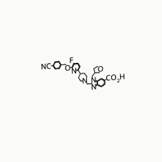 N#Cc1ccc(COc2nc(C3CCN(Cc4nc5ccc(C(=O)O)cc5n4CC4CCOC4)CC3)ccc2F)cc1